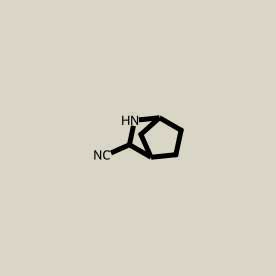 N#CC1NC2CCC1C2